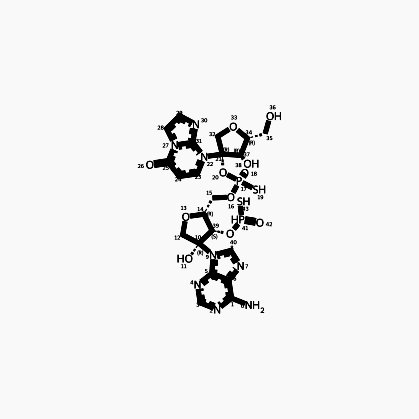 Nc1ncnc2c1ncn2[C@@]1(O)CO[C@H](COP(=O)(S)O[C@]2(n3ccc(=O)n4ccnc34)CO[C@H](CO)[C@H]2O)[C@@H]1O[PH](=O)S